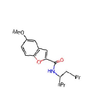 CCCC(CC(C)C)NC(=O)c1cc2cc(OC)ccc2o1